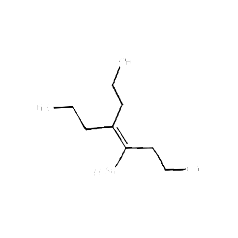 CCC[C]([SnH3])=C(CCC)CCC